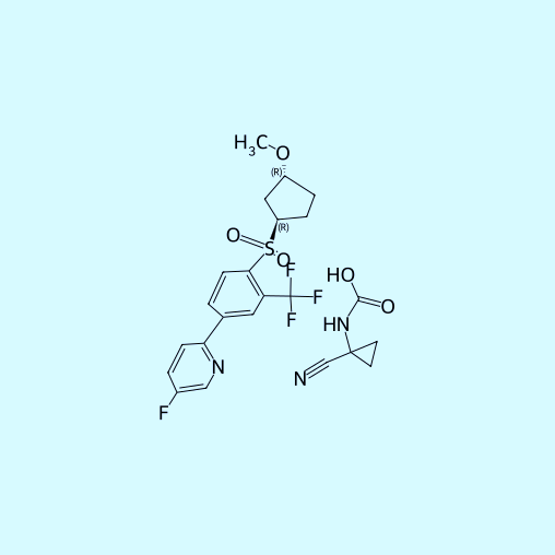 CO[C@@H]1CC[C@@H](S(=O)(=O)c2ccc(-c3ccc(F)cn3)cc2C(F)(F)F)C1.N#CC1(NC(=O)O)CC1